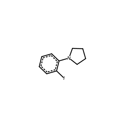 Ic1ccccc1N1CCCC1